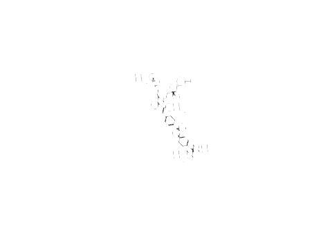 CCOC(=O)CCN(CCCOC)C(=O)/C(C)=C/c1ccc(C(=O)Oc2ccc(C(=N)N)cc2)cc1